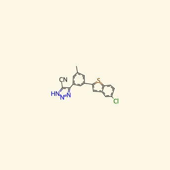 Cc1cc(-c2cc3cc(Cl)ccc3s2)cc(-c2nn[nH]c2C#N)c1